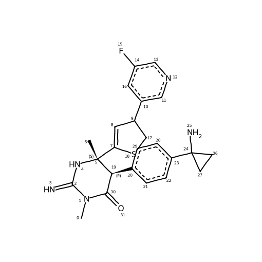 CN1C(=N)N[C@](C)(C2=CC(c3cncc(F)c3)CS2)[C@@H](c2ccc(C3(N)CC3)cc2)C1=O